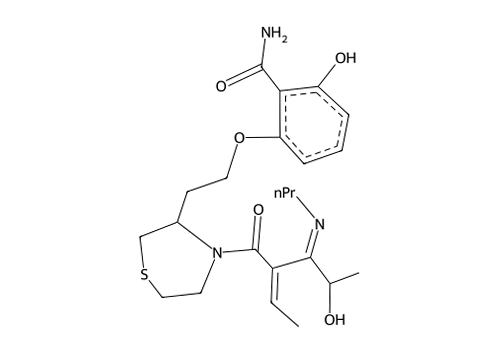 C/C=C(C(=O)N1CCSCC1CCOc1cccc(O)c1C(N)=O)\C(=N/CCC)C(C)O